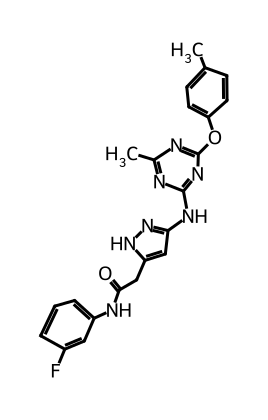 Cc1ccc(Oc2nc(C)nc(Nc3cc(CC(=O)Nc4cccc(F)c4)[nH]n3)n2)cc1